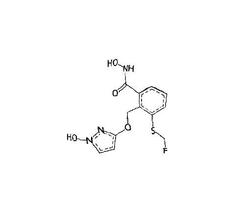 O=C(NO)c1cccc(SCF)c1COc1ccn(O)n1